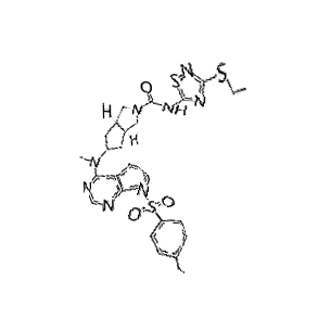 CCSc1nsc(NC(=O)N2C[C@H]3CC(N(C)c4ncnc5c4ccn5S(=O)(=O)c4ccc(C)cc4)C[C@H]3C2)n1